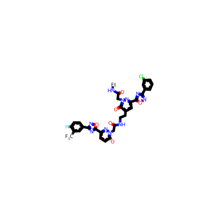 CCNC(=O)Cn1nc(-c2nc(-c3cccc(Cl)c3)no2)cc(CCNC(=O)Cn2nc(-c3nc(-c4ccc(F)c(C(F)(F)F)c4)no3)ccc2=O)c1=O